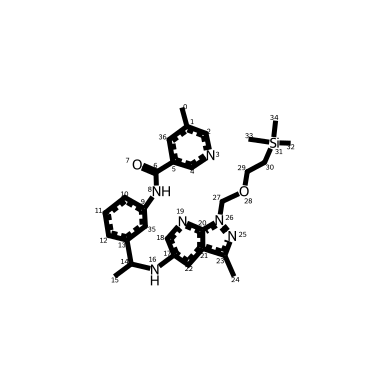 Cc1cncc(C(=O)Nc2cccc(C(C)Nc3cnc4c(c3)c(C)nn4COCC[Si](C)(C)C)c2)c1